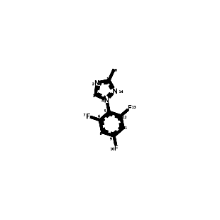 Cc1ncn(-c2c(F)cc(F)cc2F)n1